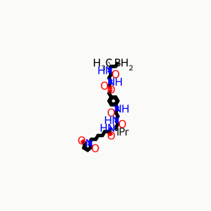 BC[C@@H](C)NC(=O)CNC(=O)OCc1ccc(NC(=O)CNC(=O)C(NC(=O)CCCCCN2C(=O)C=CC2=O)C(C)C)cc1